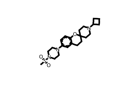 CS(=O)(=O)N1CCN(c2ccc3c(c2)CCC2(CCN(C4CCC4)CC2)O3)CC1